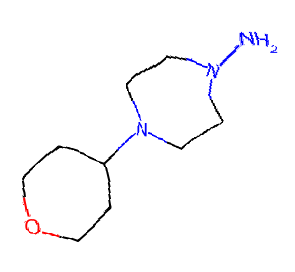 NN1CCN(C2CCOCC2)CC1